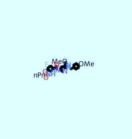 CCCS(=O)(=O)Nc1cc(F)cc(C(=O)Nc2cnc3c(c2)c(OC)nn3Cc2ccc(OC)cc2)c1F